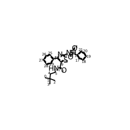 CC(C)(C)CCNC(=O)c1sc(NS(=O)(=O)c2ccccc2)nc1-c1ccccc1